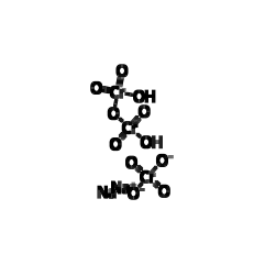 [Na+].[Na+].[O]=[Cr](=[O])([O-])[O-].[O]=[Cr](=[O])([OH])[O][Cr](=[O])(=[O])[OH]